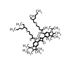 CCCCC(CC)CSCCCC(=S)Nc1cc2c(cc1C1=C([O-])/C(=c3/cc4c(cc3NC(=S)CCCSCC(CC)CCCC)=[N+](C(C)C)C(C)C4(C)C)C1=O)C(C)(C)C(C)N2C(C)C